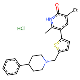 CCc1cc(-c2ccc(CN3CCC(c4ccccc4)CC3)s2)c(C)[nH]c1=O.Cl